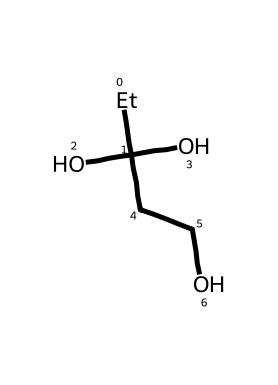 [CH2]CC(O)(O)CCO